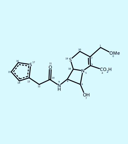 COCC1=C(C(=O)O)N2C(O)C(NC(=O)Cc3cccs3)C2SC1